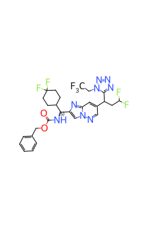 O=C(N[C@H](c1cn2ncc(C(CC(F)F)c3nnnn3CC(F)(F)F)cc2n1)C1CCC(F)(F)CC1)OCc1ccccc1